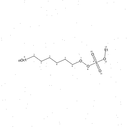 CCCCCCCCCCCCCCOOS(=O)(=O)OCC